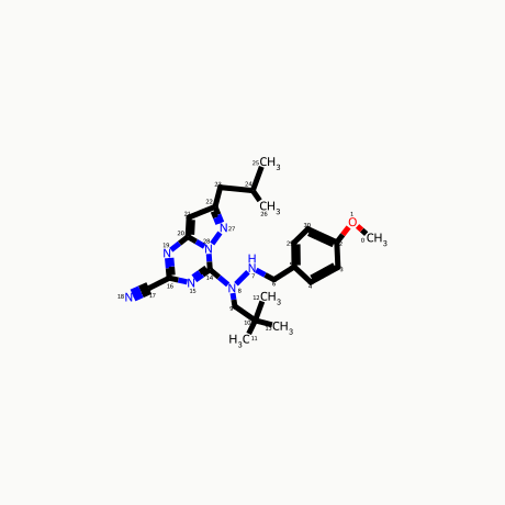 COc1ccc(CNN(CC(C)(C)C)c2nc(C#N)nc3cc(CC(C)C)nn23)cc1